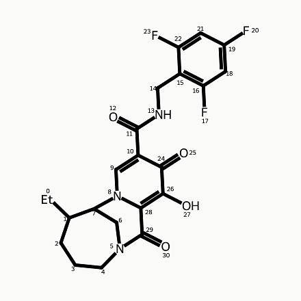 CCC1CCCN2CC1n1cc(C(=O)NCc3c(F)cc(F)cc3F)c(=O)c(O)c1C2=O